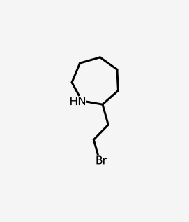 BrCCC1CCCCCN1